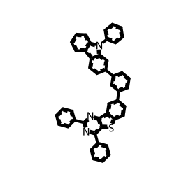 c1ccc(-c2nc(-c3ccccc3)c3sc4ccc(-c5cccc(-c6ccc7c8ccccc8n(-c8ccccc8)c7c6)c5)cc4c3n2)cc1